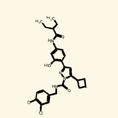 CCC(CC)C(=O)Nc1ccc(-c2cc(C3CCC3)n(C(=O)NCc3ccc(Cl)c(Cl)c3)n2)c(O)c1